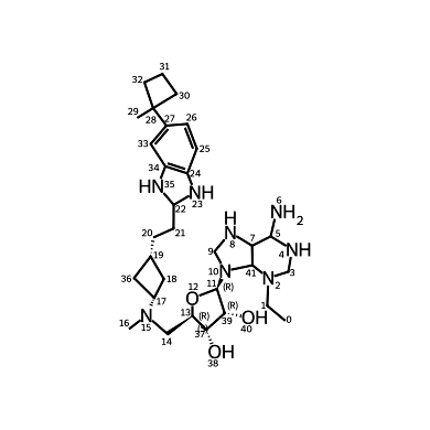 CCN1CNC(N)C2NCN([C@@H]3O[C@H](CN(C)[C@H]4C[C@@H](CCC5Nc6ccc(C7(C)CCC7)cc6N5)C4)[C@@H](O)[C@H]3O)C21